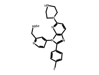 CNCc1cc(-n2c(-c3ccc(F)cc3)nc3ccc(N4CCNCC4)nc32)ccn1